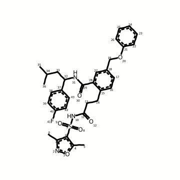 Cc1noc(C)c1S(=O)(=O)NC(=O)CCc1ccc(COc2ccccc2)cc1C(=O)NC(CC(C)C)c1ccc(F)cc1